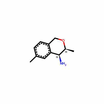 Cc1ccc2c(c1)[C@H](N)[C@H](C)OC2